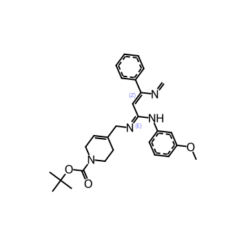 C=N/C(=C\C(=N/CC1=CCN(C(=O)OC(C)(C)C)CC1)Nc1cccc(OC)c1)c1ccccc1